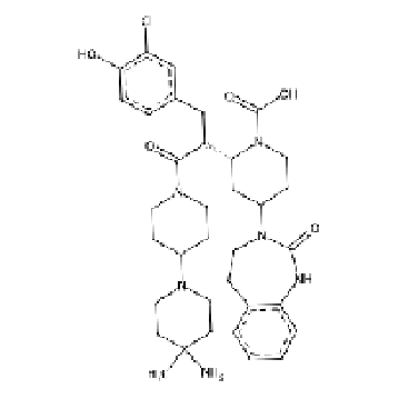 CC1(N)CCN(C2CCN(C(=O)C(Cc3ccc(O)c(Cl)c3)[C@H]3CC(N4CCc5ccccc5NC4=O)CCN3C(=O)O)CC2)CC1